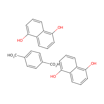 O=C(O)c1ccc(C(=O)O)cc1.Oc1cccc2c(O)cccc12.Oc1cccc2c(O)cccc12